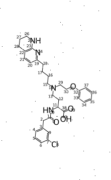 O=C(Cc1cccc(Cl)c1)NC(CCN(CCCCc1ccc2c(n1)NCCC2)CCOc1ccccc1)C(=O)O